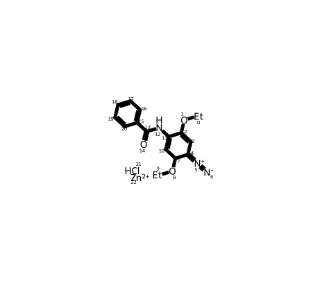 CCOC1=CC(=[N+]=[N-])C(OCC)C=C1NC(=O)c1ccccc1.Cl.[Zn+2]